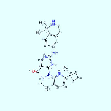 CC1(C)NCCc2cc(Nc3ncc4c(=O)n(CC(F)(F)F)n(-c5cccc(C6(C#N)CCC6)n5)c4n3)ccc21